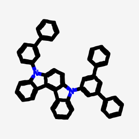 c1ccc(-c2cccc(-n3c4ccccc4c4c5c6ccccc6n(-c6cc(-c7ccccc7)cc(-c7ccccc7)c6)c5ccc43)c2)cc1